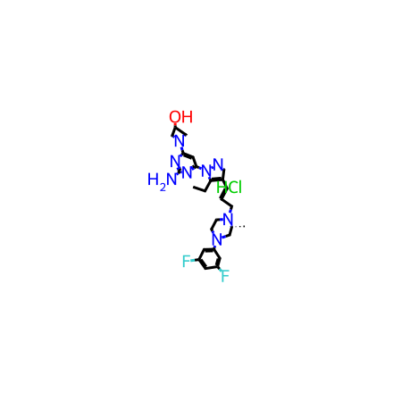 CCc1c(/C=C/CN2CCN(c3cc(F)cc(F)c3)C[C@H]2C)cnn1-c1cc(N2CC(O)C2)nc(N)n1.Cl